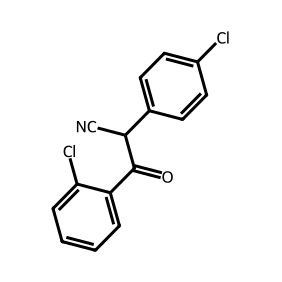 N#CC(C(=O)c1ccccc1Cl)c1ccc(Cl)cc1